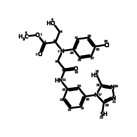 COC(=O)C(CO)N(CC(=O)Nc1cccc(-n2c(S)nnc2S)c1)c1ccc(Cl)cc1